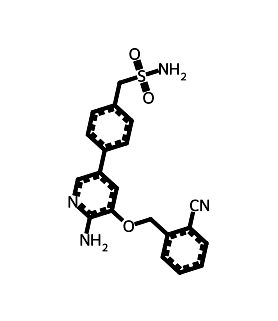 N#Cc1ccccc1COc1cc(-c2ccc(CS(N)(=O)=O)cc2)cnc1N